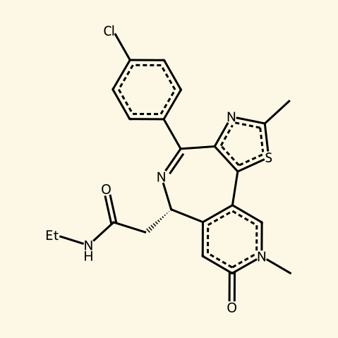 CCNC(=O)C[C@@H]1N=C(c2ccc(Cl)cc2)c2nc(C)sc2-c2cn(C)c(=O)cc21